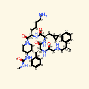 CNC(=O)NC1CCN(C(=O)[C@@H](CCCCN)NC(=O)[C@@H](CC2CC2)NC(=O)[C@@H](Cc2ccccc2)NC(=O)CNC[C@H](C)c2ccccc2)CC1